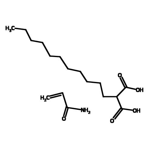 C=CC(N)=O.CCCCCCCCCCCC(C(=O)O)C(=O)O